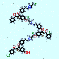 O=C(c1ccc(Cl)cc1)c1sc2cc(O)ccc2c1Oc1ccc(CCN2CC(C(F)Oc3ccc4c(Oc5ccc(CCN6CC(C(F)Oc7ccc8c(Oc9ccc(CCN%10CC(CF)C%10)cc9)c(C(=O)c9ccc(F)cc9)sc8c7)C6)cc5)c(C(=O)c5ccccc5Cl)sc4c3)C2)cc1